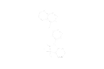 O=C1N(c2cncc(Cc3nncc4ccccc34)c2)c2ccccc2C1(O)C(F)(F)F